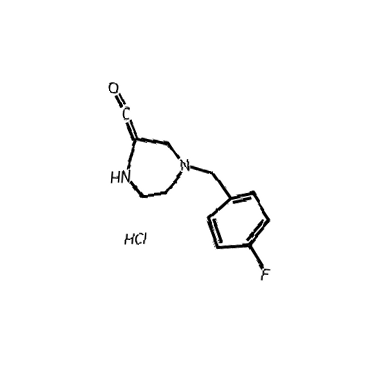 Cl.O=C=C1CN(Cc2ccc(F)cc2)CCN1